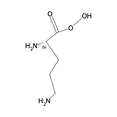 NCCC[C@H](N)C(=O)OO